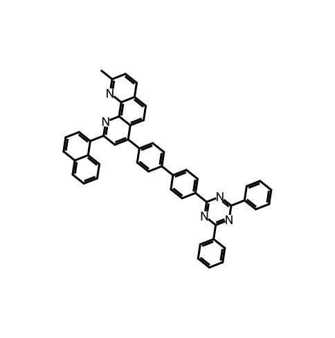 Cc1ccc2ccc3c(-c4ccc(-c5ccc(-c6nc(-c7ccccc7)nc(-c7ccccc7)n6)cc5)cc4)cc(-c4cccc5ccccc45)nc3c2n1